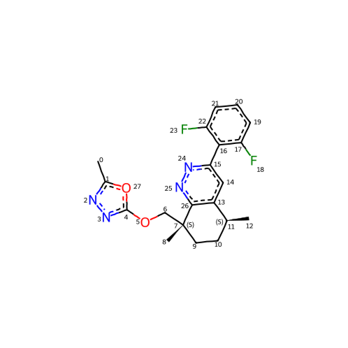 Cc1nnc(OC[C@@]2(C)CC[C@H](C)c3cc(-c4c(F)cccc4F)nnc32)o1